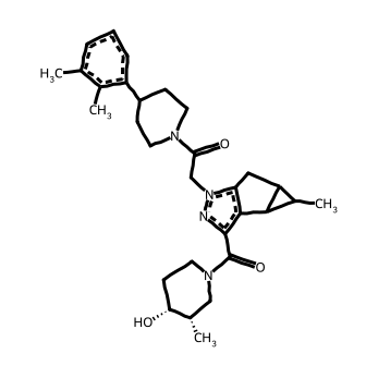 Cc1cccc(C2CCN(C(=O)Cn3nc(C(=O)N4CC[C@@H](O)[C@@H](C)C4)c4c3CC3C(C)C43)CC2)c1C